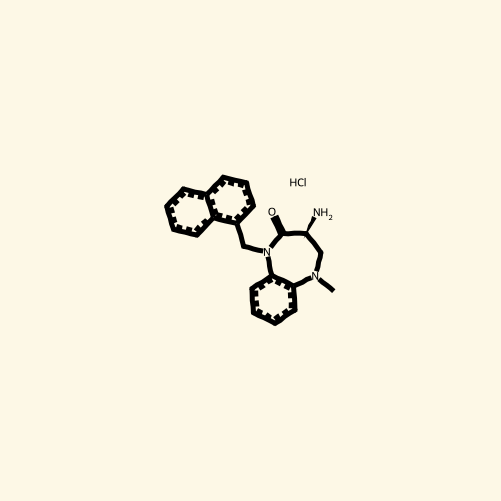 CN1C[C@H](N)C(=O)N(Cc2cccc3ccccc23)c2ccccc21.Cl